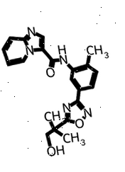 Cc1ccc(-c2noc(C(C)(C)CO)n2)cc1NC(=O)c1cnc2ccccn12